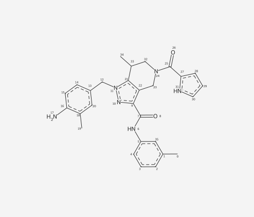 Cc1cccc(NC(=O)c2nn(Cc3ccc(N)c(C)c3)c3c2CN(C(=O)c2ccc[nH]2)CC3C)c1